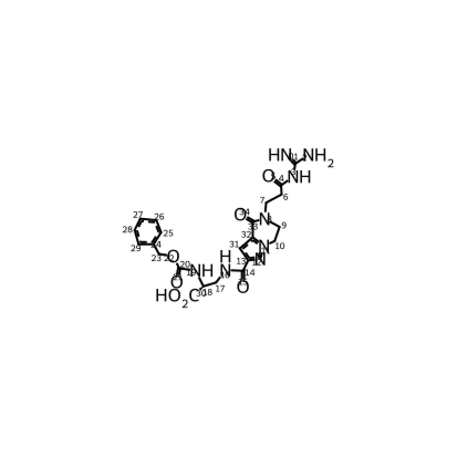 N=C(N)NC(=O)CCN1CCn2nc(C(=O)NC[C@H](NC(=O)OCc3ccccc3)C(=O)O)cc2C1=O